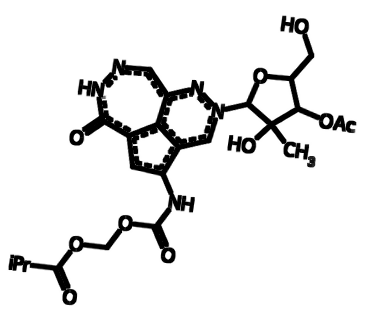 CC(=O)OC1C(CO)OC(n2cc3c(NC(=O)OCOC(=O)C(C)C)cc4c(=O)[nH]ncc(n2)c34)C1(C)O